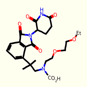 CCOCCOCCN(CC(C)(C)c1cccc2c1C(=O)N(C1CCC(=O)NC1=O)C2=O)C(=O)O